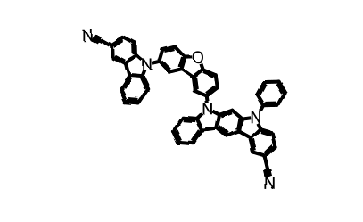 N#Cc1ccc2c(c1)c1ccccc1n2-c1ccc2oc3ccc(-n4c5ccccc5c5cc6c7cc(C#N)ccc7n(-c7ccccc7)c6cc54)cc3c2c1